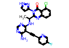 CC(Nc1ncnc(N)c1C#Cc1ccc(F)cn1)c1nc2cccc(Cl)c2c(=O)n1-c1cc[nH]n1